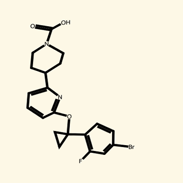 O=C(O)N1CCC(c2cccc(OC3(c4ccc(Br)cc4F)CC3)n2)CC1